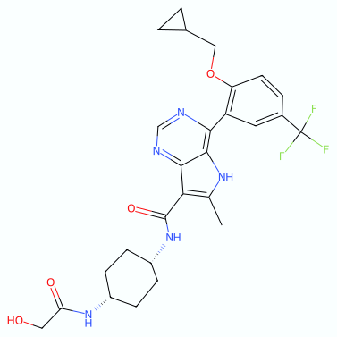 Cc1[nH]c2c(-c3cc(C(F)(F)F)ccc3OCC3CC3)ncnc2c1C(=O)N[C@H]1CC[C@@H](NC(=O)CO)CC1